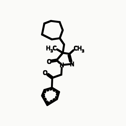 CC1=NN(CC(=O)c2ccccc2)C(=O)C1(C)CC1CCCCCC1